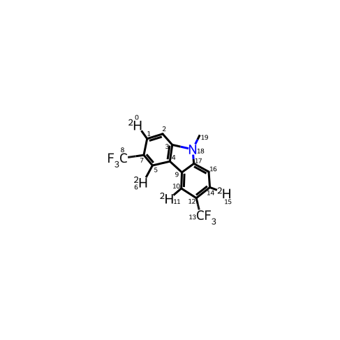 [2H]c1cc2c(c([2H])c1C(F)(F)F)c1c([2H])c(C(F)(F)F)c([2H])cc1n2C